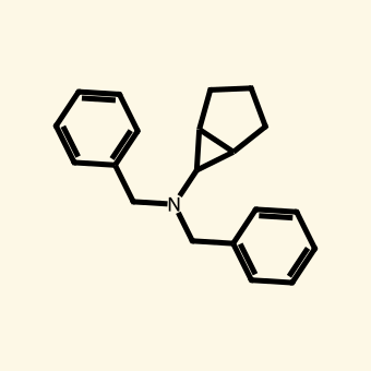 c1ccc(CN(Cc2ccccc2)C2C3CCCC32)cc1